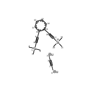 CCC(C)C#CC(C)CC.C[Si](C)(C)C#Cc1ccccc1C#C[Si](C)(C)C